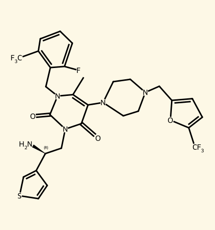 Cc1c(N2CCN(Cc3ccc(C(F)(F)F)o3)CC2)c(=O)n(C[C@H](N)c2ccsc2)c(=O)n1Cc1c(F)cccc1C(F)(F)F